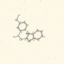 COc1cccc(C(C)Sc2nc3cnccc3[nH]2)c1